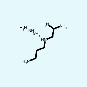 N.N.N.NCCCNCC(N)N